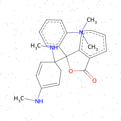 CNC1=CCC(NC)(C2(c3ccccc3N(C)C)OC(=O)c3ccccc32)C=C1